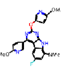 CNc1cc(F)cc2c1[nH]c1nc(Oc3ccc(OC)nc3)nc(-c3ccc(OC)nc3)c12